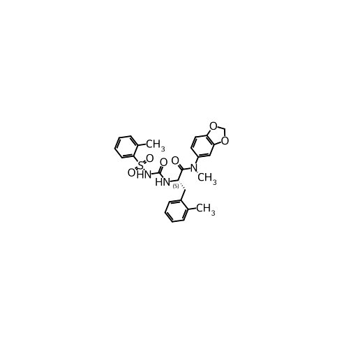 Cc1ccccc1C[C@H](NC(=O)NS(=O)(=O)c1ccccc1C)C(=O)N(C)c1ccc2c(c1)OCO2